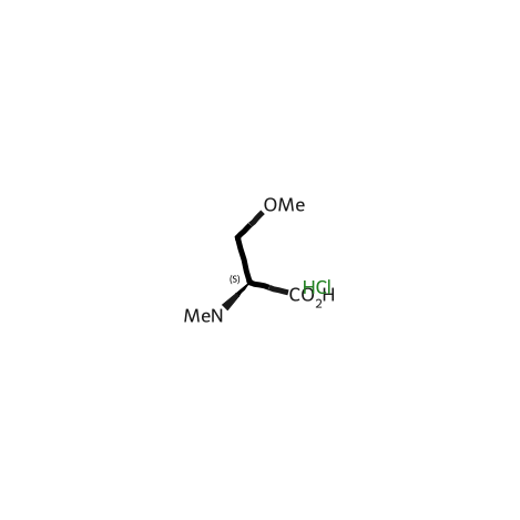 CN[C@@H](COC)C(=O)O.Cl